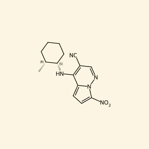 C[C@@H]1CCCC[C@@H]1Nc1c(C#N)cnn2c([N+](=O)[O-])ccc12